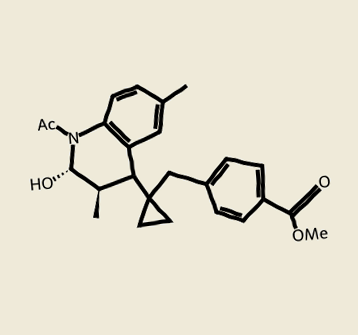 COC(=O)c1ccc(CC2(C3c4cc(C)ccc4N(C(C)=O)[C@@H](O)[C@@H]3C)CC2)cc1